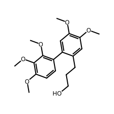 COc1cc(CCCO)c(-c2ccc(OC)c(OC)c2OC)cc1OC